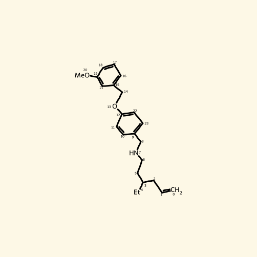 C=CCC(CC)CCNCc1ccc(OCc2cccc(OC)c2)cc1